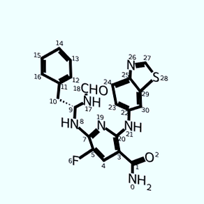 NC(=O)c1cc(F)c(N[C@H](Cc2ccccc2)NC=O)nc1Nc1ccc2ncsc2c1